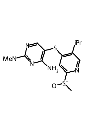 CNc1ncc(Sc2cc([S+](C)[O-])ncc2C(C)C)c(N)n1